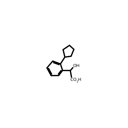 O=C(O)C(O)c1ccccc1C1CCCC1